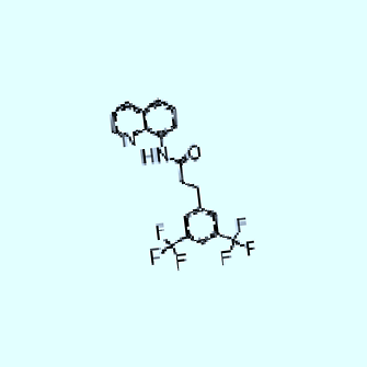 O=C(CCc1cc(C(F)(F)F)cc(C(F)(F)F)c1)Nc1cccc2cccnc12